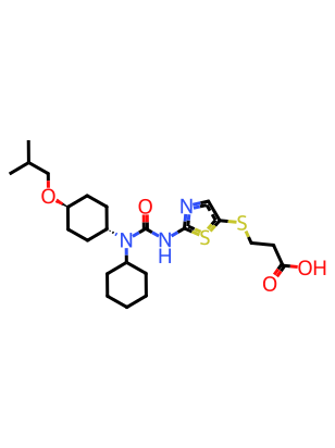 CC(C)CO[C@H]1CC[C@H](N(C(=O)Nc2ncc(SCCC(=O)O)s2)C2CCCCC2)CC1